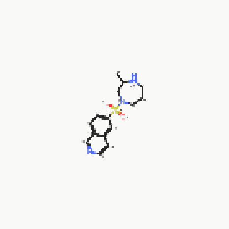 CC1CN(S(=O)(=O)c2ccc3cnccc3c2)CCCN1